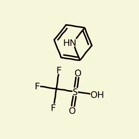 O=S(=O)(O)C(F)(F)F.c1cc2cc(c1)N2